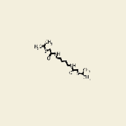 CC(C)SCC(=O)NCCCCCNC(=O)CSC(C)C